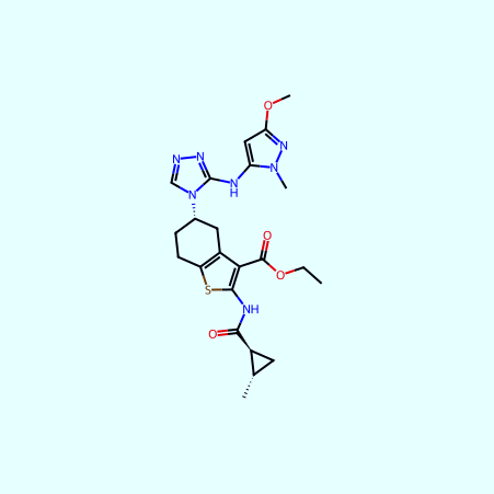 CCOC(=O)c1c(NC(=O)[C@H]2C[C@@H]2C)sc2c1C[C@@H](n1cnnc1Nc1cc(OC)nn1C)CC2